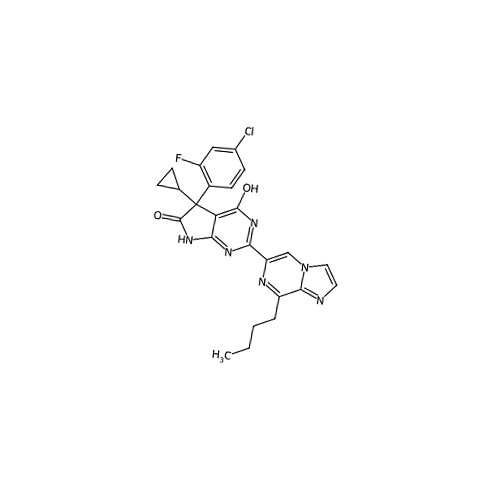 CCCCc1nc(-c2nc(O)c3c(n2)NC(=O)C3(c2ccc(Cl)cc2F)C2CC2)cn2ccnc12